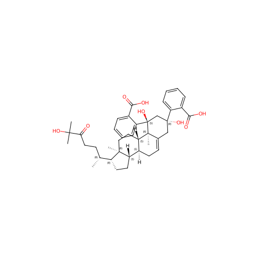 C[C@H](CCC(=O)C(C)(C)O)[C@H]1CC[C@H]2[C@@H]3CC=C4C[C@](O)(c5ccccc5C(=O)O)C[C@@](O)(c5ccccc5C(=O)O)[C@]4(C)[C@H]3CC[C@]12C